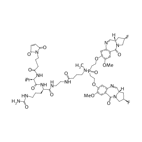 COc1cc2c(cc1OCCP(=O)(CCOc1cc3c(cc1OC)C(=O)N1C[C@H](F)C[C@H]1C=N3)N(C)CCCC(=O)NCCNC(=O)[C@@H](CCCNC(N)=O)NC(=O)[C@H](NC(=O)CCCN1C(=O)C=CC1=O)C(C)C)N=C[C@@H]1C[C@@H](F)CN1C2=O